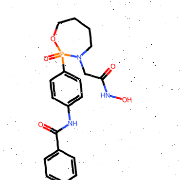 O=C(CN1CCCCOP1(=O)c1ccc(NC(=O)c2ccccc2)cc1)NO